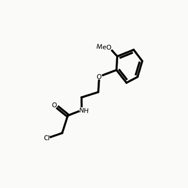 COc1ccccc1OCCNC(=O)CCl